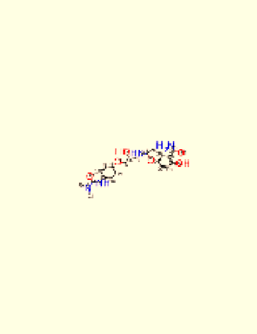 CC(NCC(O)COc1ccc(NC(=O)N(C)C)cc1)Oc1ccc(O)c(C(N)=O)c1